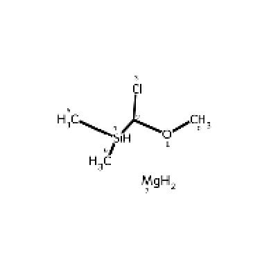 COC(Cl)[SiH](C)C.[MgH2]